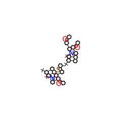 CC(C)(C)c1cc(-c2cccc3cccc(-c4ccccc4N(c4ccc(-c5cccc6c5sc5cccc(CC(C)(C)c7cc(-c8cccc9cccc(-c%10ccccc%10N(c%10ccc(-c%11ccc%12oc%13ccccc%13c%12c%11)cc%10)c%10ccccc%10-c%10cccc%11c%10oc%10ccccc%10%11)c89)cc(C(C)(C)C)c7)c56)cc4)c4ccccc4-c4cccc5c4oc4ccccc45)c23)cc(C(C)(C)C)c1